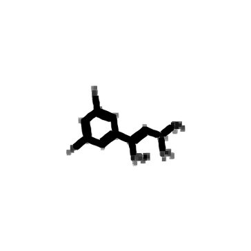 CN(C)C=C(C(=O)O)c1cc(F)cc(F)c1